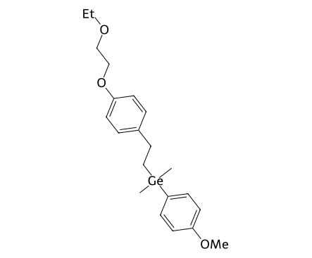 CCOCCOc1ccc(C[CH2][Ge]([CH3])([CH3])[c]2ccc(OC)cc2)cc1